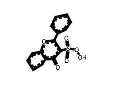 O=c1c(S(=O)(=O)OO)c(-c2ccccc2)oc2ccccc12